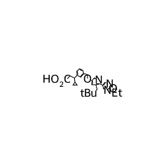 CCOc1ncc(-c2ncc(OCc3cccc(C(CC(=O)O)C4CC4)c3)cc2CC(C)(C)C)cn1